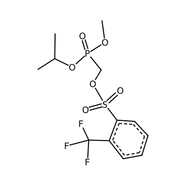 COP(=O)(COS(=O)(=O)c1ccccc1C(F)(F)F)OC(C)C